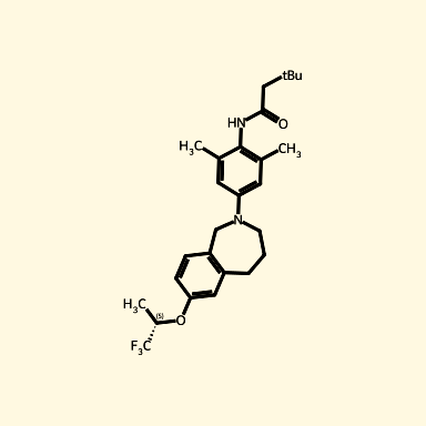 Cc1cc(N2CCCc3cc(O[C@@H](C)C(F)(F)F)ccc3C2)cc(C)c1NC(=O)CC(C)(C)C